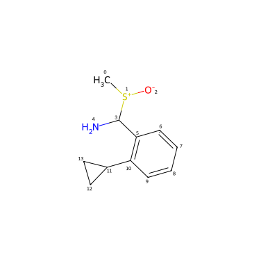 C[S+]([O-])C(N)c1[c]cccc1C1CC1